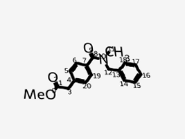 COC(=O)Cc1ccc(C(=O)N(C)Cc2ccccc2)cc1